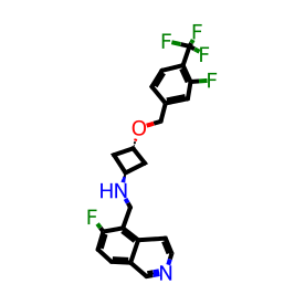 Fc1cc(CO[C@H]2C[C@H](NCc3c(F)ccc4cnccc34)C2)ccc1C(F)(F)F